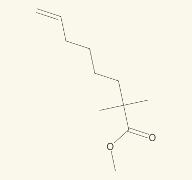 C=CCCCCC(C)(C)C(=O)OC